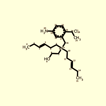 CCC=CCC[N+](CCO)(CCC=CCC)Cc1cc(N)ccc1CC.[Cl-]